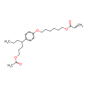 C=CC(=O)OCCCCCCOc1ccc(C(CCC)CCCOC(C)=O)cc1